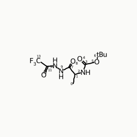 CC(NC(=O)OC(C)(C)C)C(=O)NNC(=O)C(F)(F)F